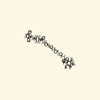 O=C(CCOCCOCCOCCOCCC(=O)N1CCN(CCN2C(=O)C=CC2=O)CC1)Oc1c(F)c(F)c(F)c(F)c1F